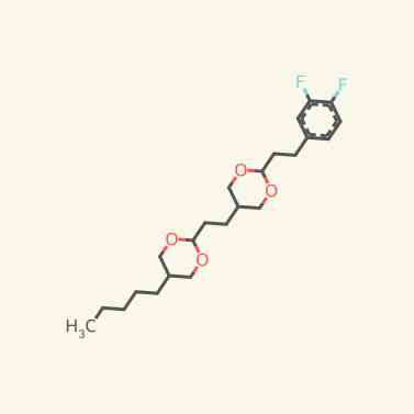 CCCCCC1COC(CCC2COC(CCc3ccc(F)c(F)c3)OC2)OC1